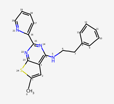 Cc1cc2c(NCCc3ccccc3)nc(-c3ccccn3)nc2s1